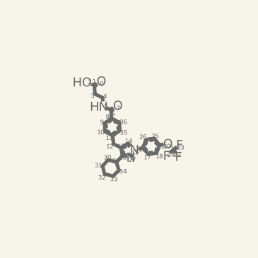 O=C(O)CCNC(=O)c1ccc(Cc2cn(-c3ccc(OC(F)(F)F)cc3)nc2C2CCCCC2)cc1